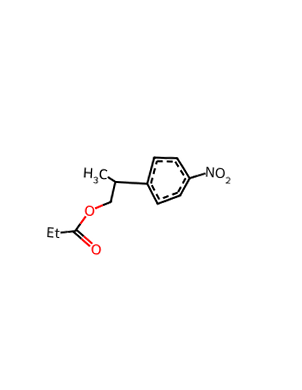 CCC(=O)OCC(C)c1ccc([N+](=O)[O-])cc1